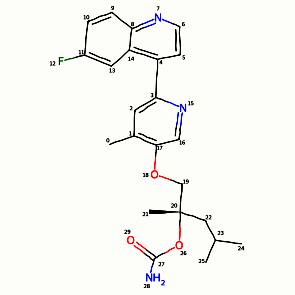 Cc1cc(-c2ccnc3ccc(F)cc23)ncc1OC[C@](C)(CC(C)C)OC(N)=O